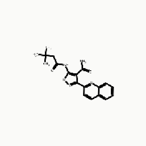 CC(C)(C)CC(=O)Nc1onc(-c2ccc3ccccc3n2)c1C(N)=O